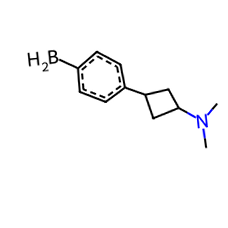 Bc1ccc(C2CC(N(C)C)C2)cc1